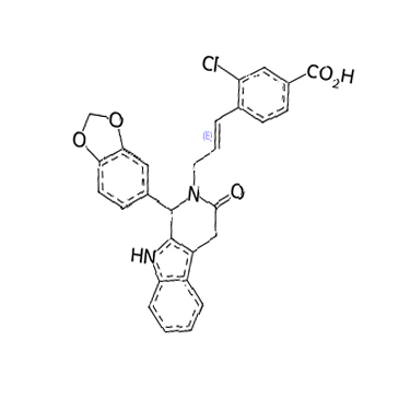 O=C(O)c1ccc(/C=C/CN2C(=O)Cc3c([nH]c4ccccc34)C2c2ccc3c(c2)OCO3)c(Cl)c1